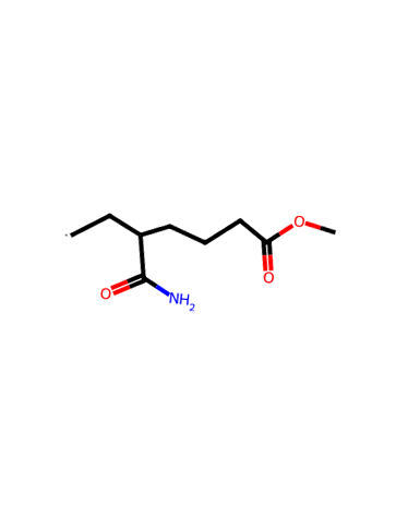 [CH2]CC(CCCC(=O)OC)C(N)=O